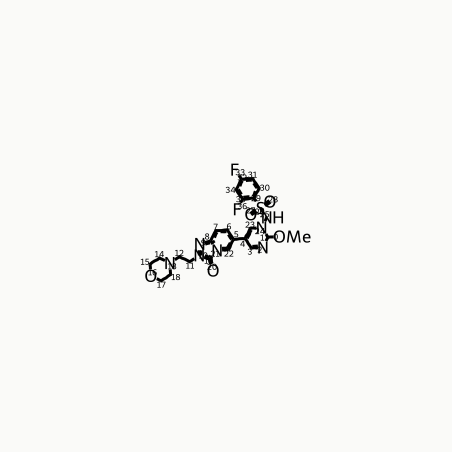 COC1N=CC(c2ccc3nn(CCN4CCOCC4)c(=O)n3c2)=CN1NS(=O)(=O)c1ccc(F)cc1F